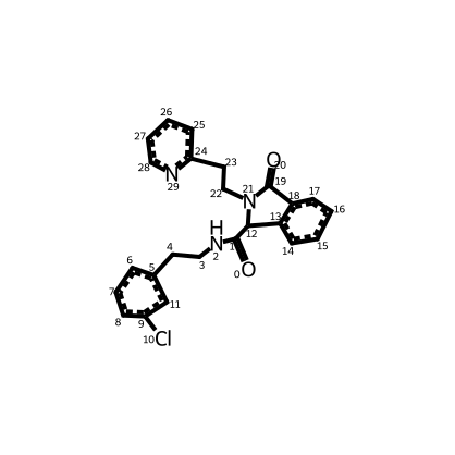 O=C(NCCc1cccc(Cl)c1)C1c2ccccc2C(=O)N1CCc1ccccn1